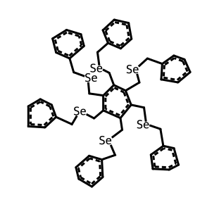 c1ccc(C[Se]Cc2c(C[Se]Cc3ccccc3)c(C[Se]Cc3ccccc3)c(C[Se]Cc3ccccc3)c(C[Se]Cc3ccccc3)c2C[Se]Cc2ccccc2)cc1